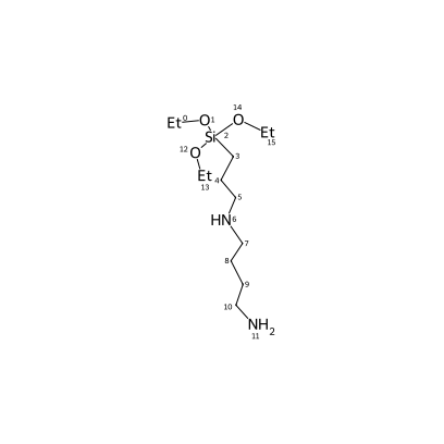 CCO[Si](CCCNCCCCN)(OCC)OCC